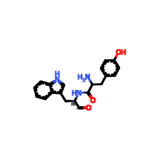 NC(Cc1ccc(O)cc1)C(=O)N[C@@H]([C]=O)Cc1c[nH]c2ccccc12